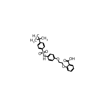 CC(C)(C)c1ccc(S(=O)(=O)Nc2ccc(OCCOc3ccccc3C(=O)O)cc2)cc1